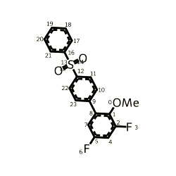 COc1c(F)cc(F)cc1-c1ccc(S(=O)(=O)c2ccccc2)cc1